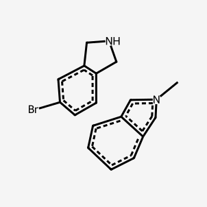 Brc1ccc2c(c1)CNC2.Cn1cc2ccccc2c1